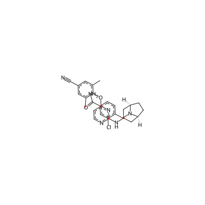 Cc1cc(C#N)cc(C)c1Oc1ccnc(NC2C[C@H]3CC[C@@H](C2)N3Cc2ccc(C(N)=O)cc2Cl)n1